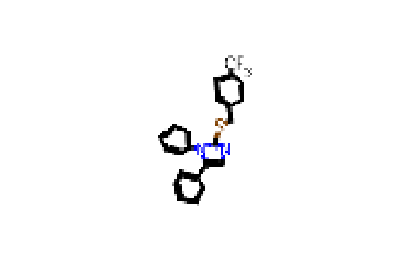 FC(F)(F)c1ccc(CSc2ncc(-c3ccccc3)n2-c2ccccc2)cc1